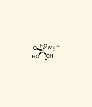 [F-].[Mg+2].[O-][Si](O)(O)O